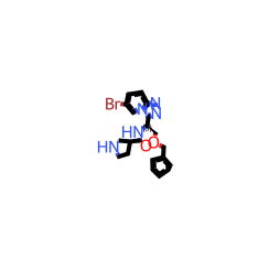 O=C(N[C@H](COCc1ccccc1)c1nnc2ccc(Br)cn12)C1CCNC1